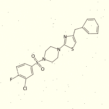 O=S(=O)(c1ccc(F)c(Cl)c1)N1CCN(c2nc(Cc3ccccc3)cs2)CC1